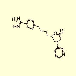 N=C(N)c1ccc(CCCCC2CC(c3cccnc3)CC(=O)O2)cc1